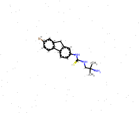 CC(C)(N)CNC(=S)Nc1ccc2c(c1)Cc1cc(Br)ccc1-2